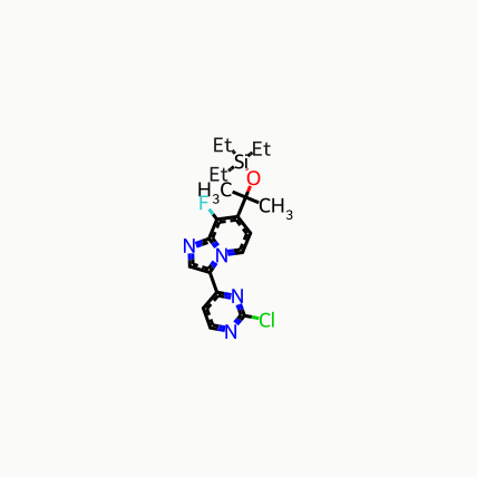 CC[Si](CC)(CC)OC(C)(C)c1ccn2c(-c3ccnc(Cl)n3)cnc2c1F